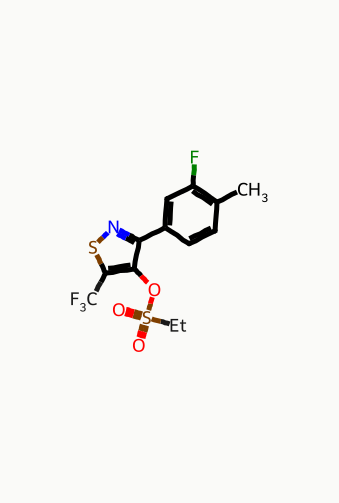 CCS(=O)(=O)Oc1c(-c2ccc(C)c(F)c2)nsc1C(F)(F)F